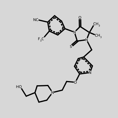 CC1(C)C(=O)N(c2ccc(C#N)c(C(F)(F)F)c2)C(=S)N1Cc1ccc(OCCN2CCC(CO)CC2)nc1